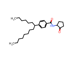 CCCCCCCCC(CCCCCC)c1ccc(C(=O)NC2CCCC2=O)cc1